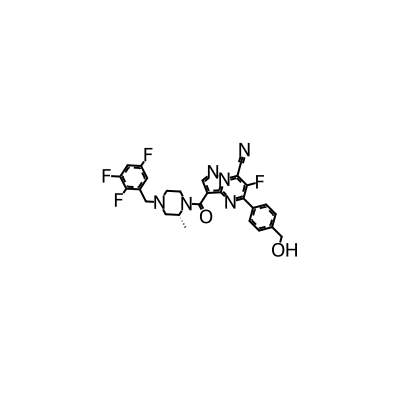 C[C@@H]1CN(Cc2cc(F)cc(F)c2F)CCN1C(=O)c1cnn2c(C#N)c(F)c(-c3ccc(CO)cc3)nc12